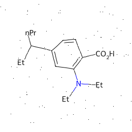 CCCC(CC)c1ccc(C(=O)O)c(N(CC)CC)c1